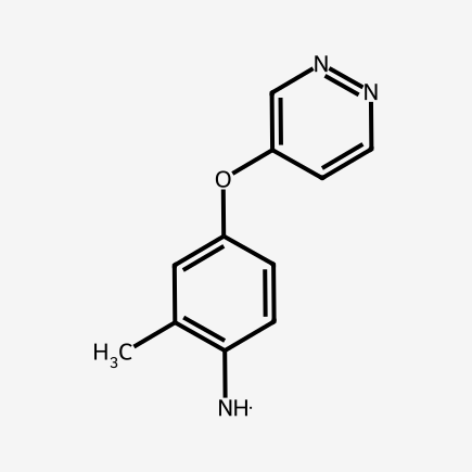 Cc1cc(Oc2ccnnc2)ccc1[NH]